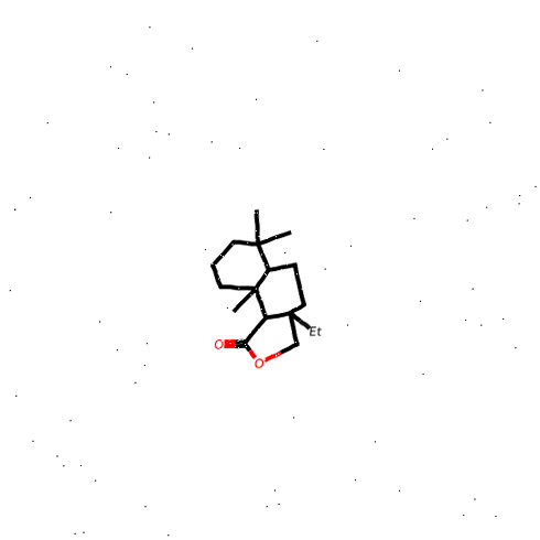 CCC12CCC3C(C)(C)CCCC3(C)C1C(=O)OC2